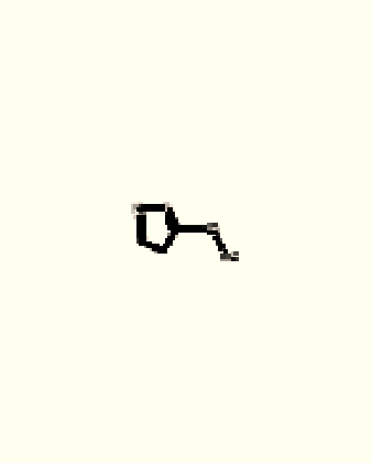 CC(=O)OC1=NN=CC1